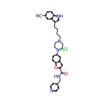 Cl.N#Cc1ccc2[nH]cc(CCCCN3CCN(c4ccc5oc(C(=O)NCc6ccncc6)cc5c4)CC3)c2c1